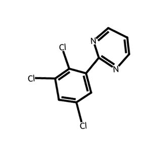 Clc1cc(Cl)c(Cl)c(-c2ncccn2)c1